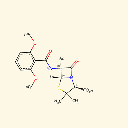 CCCOc1cccc(OCCC)c1C(=O)N[C@@]1(C(C)=O)C(=O)N2[C@@H](C(=O)O)C(C)(C)S[C@@H]21